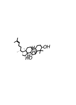 CC(C)=CCC[C@@H](C)[C@H]1CC[C@H]2[C@@H]3[C@@H](O)C=C4C(C)(C)[C@H](O)CC[C@]4(C)[C@H]3CC[C@]12C